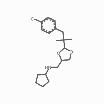 CC(C)(Cc1ccc(Cl)cc1)C1OCC(CNC2CCCC2)O1